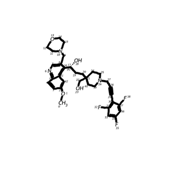 COc1ccc2ncc(CN3CCOCC3)c([C@H](O)CCC3(CO)CCN(CC#Cc4c(F)cc(F)cc4F)CC3)c2c1